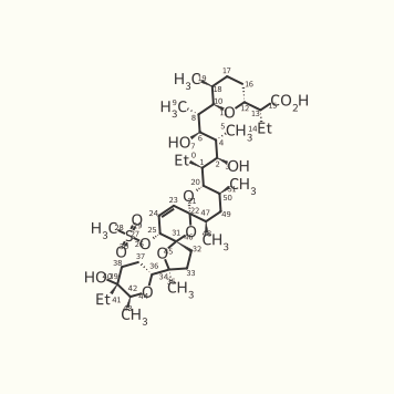 CC[C@@H]([C@H](O)[C@@H](C)[C@@H](O)[C@H](C)[C@@H]1O[C@@H]([C@@H](CC)C(=O)O)CC[C@@H]1C)[C@H]1O[C@]2(C=C[C@@H](OS(C)(=O)=O)[C@]3(CC[C@@](C)([C@H]4CC[C@](O)(CC)[C@H](C)O4)O3)O2)[C@H](C)C[C@@H]1C